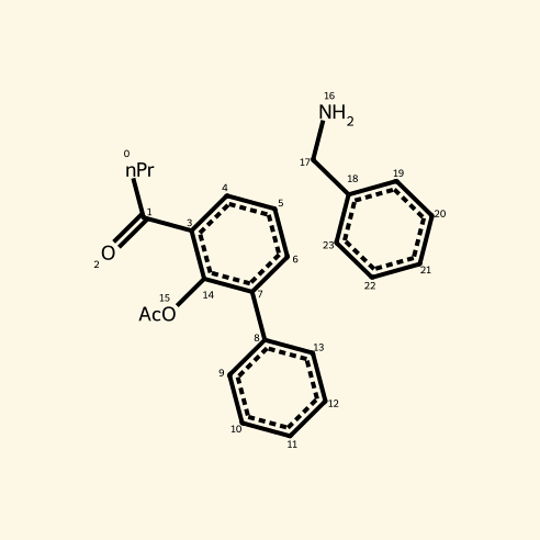 CCCC(=O)c1cccc(-c2ccccc2)c1OC(C)=O.NCc1ccccc1